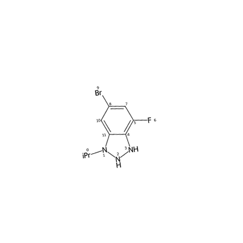 CC(C)N1NNc2c(F)cc(Br)cc21